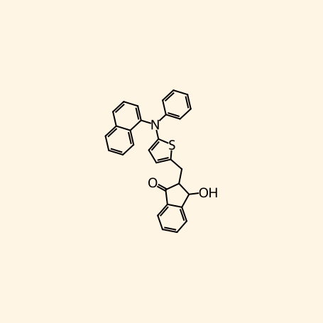 O=C1c2ccccc2C(O)C1Cc1ccc(N(c2ccccc2)c2cccc3ccccc23)s1